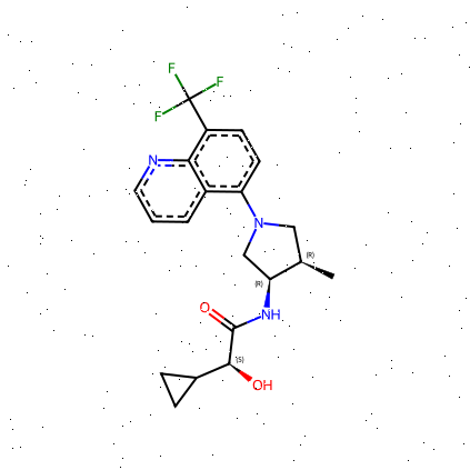 C[C@@H]1CN(c2ccc(C(F)(F)F)c3ncccc23)C[C@@H]1NC(=O)[C@@H](O)C1CC1